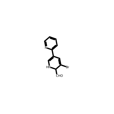 O=CC1NC=C(c2ccccn2)C=C1Br